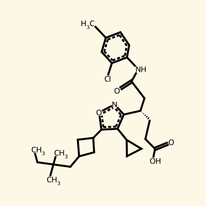 CCC(C)(C)CC1CC(c2onc([C@@H](CCC(=O)O)CC(=O)Nc3ccc(C)cc3Cl)c2C2CC2)C1